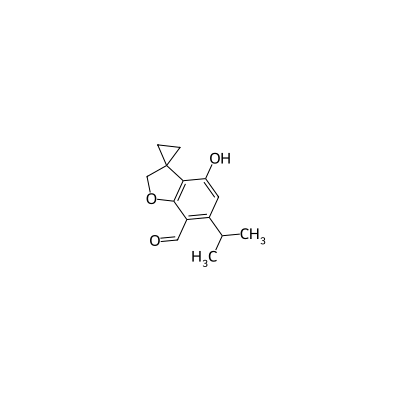 CC(C)c1cc(O)c2c(c1C=O)OCC21CC1